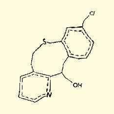 OC1c2ccc(Cl)cc2SCc2cccnc21